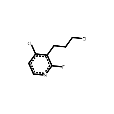 Fc1nccc(Cl)c1CCCCl